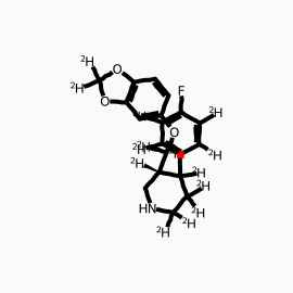 [2H]c1c([2H])c(C2([2H])C([2H])([2H])C([2H])([2H])NC[C@]2([2H])C([2H])([2H])Oc2ccc3c(c2)OC([2H])([2H])O3)c([2H])c([2H])c1F